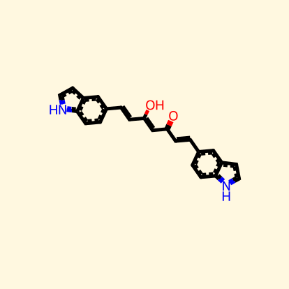 O=C(/C=C(O)/C=C/c1ccc2[nH]ccc2c1)/C=C/c1ccc2[nH]ccc2c1